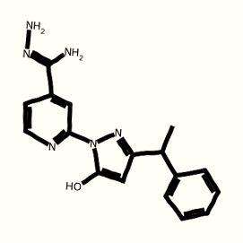 CC(c1ccccc1)c1cc(O)n(-c2cc(/C(N)=N/N)ccn2)n1